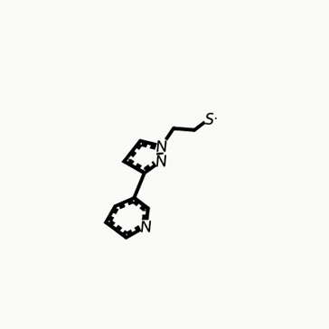 [S]CCn1ccc(-c2cccnc2)n1